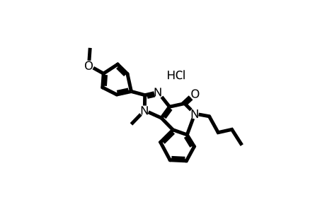 CCCCn1c(=O)c2nc(-c3ccc(OC)cc3)n(C)c2c2ccccc21.Cl